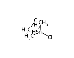 CC.[CH3][SnH]([CH3])[Cl]